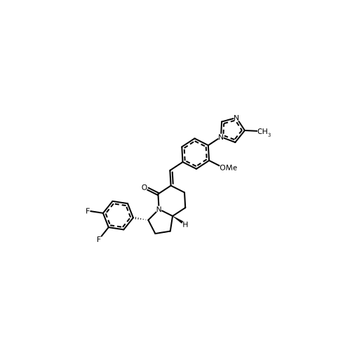 COc1cc(/C=C2\CC[C@@H]3CC[C@H](c4ccc(F)c(F)c4)N3C2=O)ccc1-n1cnc(C)c1